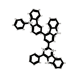 c1ccc(-c2nc(-c3cc(-c4ccc5c(c4)c4ccccc4n5-c4ccccc4)c4c(c3)sc3ccccc34)nc3c2sc2ccccc23)cc1